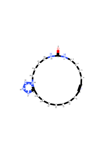 O=C1NCCCC/C=C\CCCCCCCc2nnnn2CCCCN1